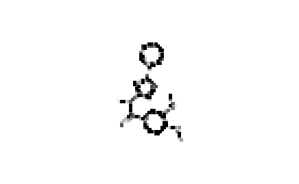 COc1ccc(C(=O)N(C)c2nc(-c3ccccc3)cs2)cc1OC